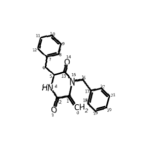 C=C1C(=O)NC(Cc2ccccc2)C(=O)N1Cc1ccccc1